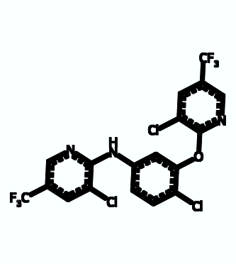 FC(F)(F)c1cnc(Nc2ccc(Cl)c(Oc3ncc(C(F)(F)F)cc3Cl)c2)c(Cl)c1